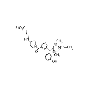 C=CCN1C[C@H](C)N(C(c2cccc(O)c2)c2cccc(C(=O)N3CCC(NCCCC(=O)OCC)CC3)c2)C[C@H]1C